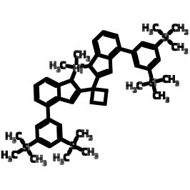 C[Si](C)(C)c1cc(-c2cccc3c2C=C2[CH]3[Hf]([CH3])([CH3])[CH]3C(=Cc4c(-c5cc([Si](C)(C)C)cc([Si](C)(C)C)c5)cccc43)C23CCC3)cc([Si](C)(C)C)c1